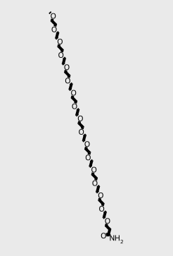 COCCOCCOCCOCCOCCOCCOCCOCCOCCOCCOCCOCCOCCOCCOCCOCCOCCC(N)=O